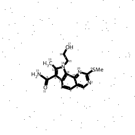 CSc1ncc2ccc3c(C(N)=O)c(C)n(CCO)c3c2n1